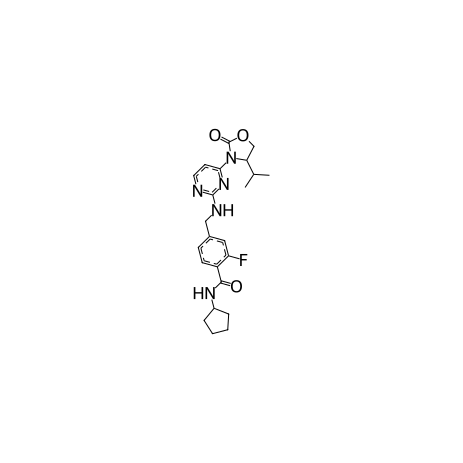 CC(C)C1COC(=O)N1c1ccnc(NCc2ccc(C(=O)NC3CCCC3)c(F)c2)n1